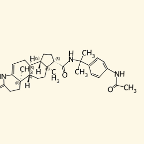 CC(=O)Nc1ccc(C(C)(C)NC(=O)[C@H]2CC[C@H]3[C@@H]4CC=C5NC(=O)CC[C@]5(C)[C@H]4CC[C@]23C)cc1